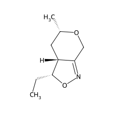 CC[C@H]1ON=C2CO[C@@H](C)C[C@H]21